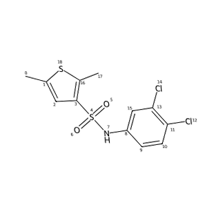 Cc1cc(S(=O)(=O)Nc2ccc(Cl)c(Cl)c2)c(C)s1